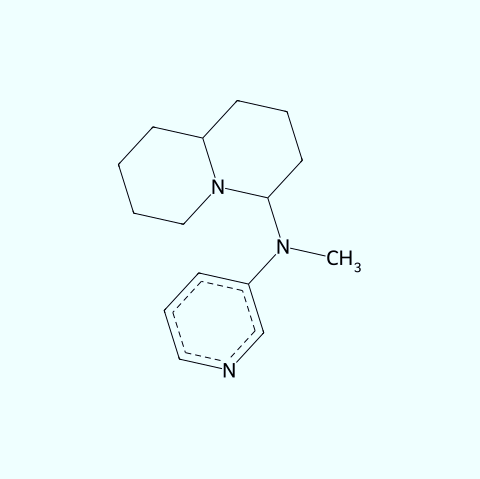 CN(c1cccnc1)C1CCCC2CCCCN21